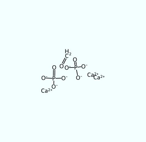 C=O.O=P([O-])([O-])[O-].O=P([O-])([O-])[O-].[Ca+2].[Ca+2].[Ca+2]